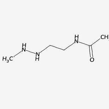 CNNCCNC(C)=O